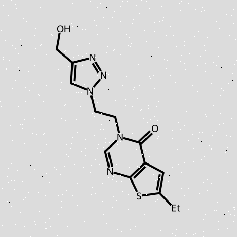 CCc1cc2c(=O)n(CCn3cc(CO)nn3)cnc2s1